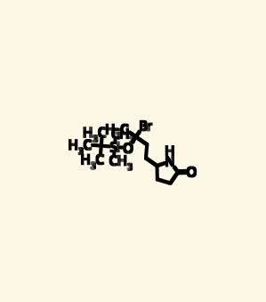 CC(Br)(CCC1CCC(=O)N1)O[Si](C)(C)C(C)(C)C